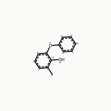 Cc1cccc(Oc2[c]cccc2)c1O